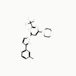 Cc1cccc(-c2ccn(-c3cc(N4CCOCC4)nc(C(F)(F)F)n3)n2)c1